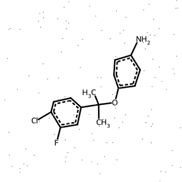 CC(C)(Oc1ccc(N)cc1)c1ccc(Cl)c(F)c1